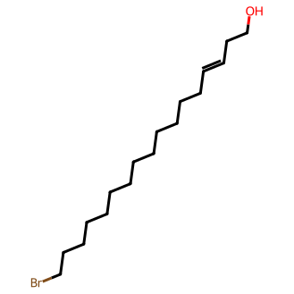 OCC/C=C/CCCCCCCCCCCCCBr